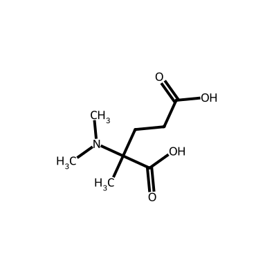 CN(C)C(C)(CCC(=O)O)C(=O)O